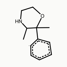 CC1NCCOC1(C)c1[c]cccc1